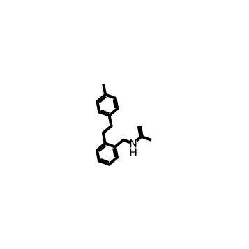 C=C(C)NCc1ccccc1CCc1ccc(C)cc1